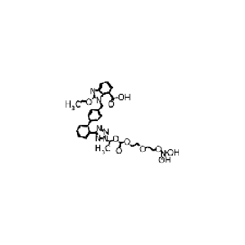 CCOc1nc2cccc(C(=O)O)c2n1Cc1ccc(-c2ccccc2-c2nnn(C(C)OC(=O)OCCOCCON(O)O)n2)cc1